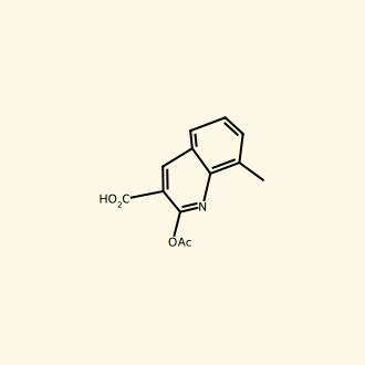 CC(=O)Oc1nc2c(C)cccc2cc1C(=O)O